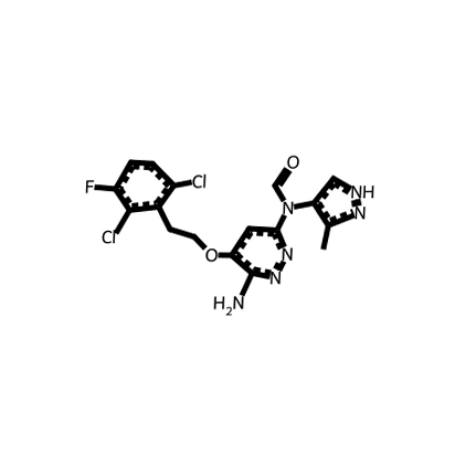 Cc1n[nH]cc1N(C=O)c1cc(OCCc2c(Cl)ccc(F)c2Cl)c(N)nn1